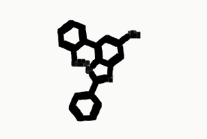 COc1ccccc1-c1cc(C(C)(C)C)cc2nc(-c3ccccc3)oc12